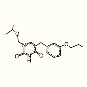 [CH2]C([CH2])OCn1cc(Cc2cccc(OCCC)c2)c(=O)[nH]c1=O